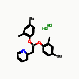 Cc1cc(C(C)(C)C)ccc1[O][Ti](=[CH]c1ccccn1)[O]c1ccc(C(C)(C)C)cc1C.Cl.Cl